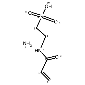 C=CC(=O)NCCS(=O)(=O)O.N